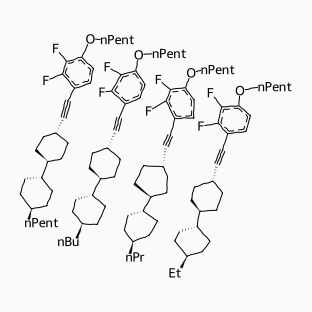 CCCCCOc1ccc(C#C[C@H]2CC[C@H]([C@H]3CC[C@H](CC)CC3)CC2)c(F)c1F.CCCCCOc1ccc(C#C[C@H]2CC[C@H]([C@H]3CC[C@H](CCC)CC3)CC2)c(F)c1F.CCCCCOc1ccc(C#C[C@H]2CC[C@H]([C@H]3CC[C@H](CCCC)CC3)CC2)c(F)c1F.CCCCCOc1ccc(C#C[C@H]2CC[C@H]([C@H]3CC[C@H](CCCCC)CC3)CC2)c(F)c1F